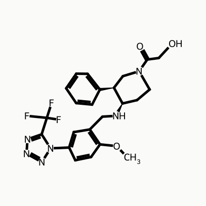 COc1ccc(-n2nnnc2C(F)(F)F)cc1CN[C@@H]1CCN(C(=O)CO)C[C@@H]1c1ccccc1